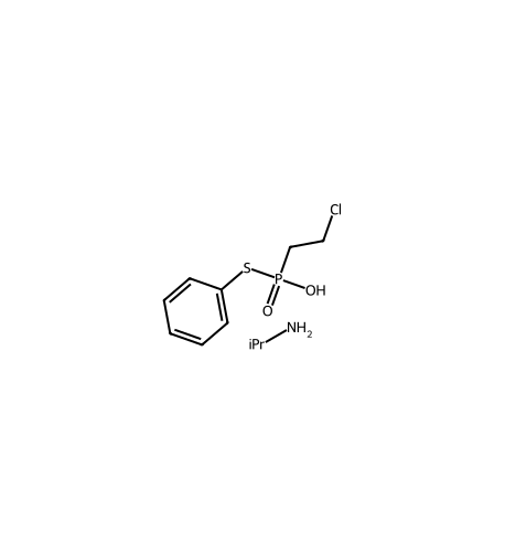 CC(C)N.O=P(O)(CCCl)Sc1ccccc1